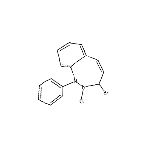 ClN1C(Br)C=Cc2ccccc2N1c1ccccc1